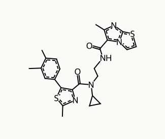 Cc1nc(C(=O)N(CCNC(=O)c2c(C)nc3sccn23)C2CC2)c(-c2ccc(C)c(C)c2)s1